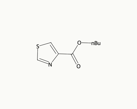 CCCCOC(=O)c1cscn1